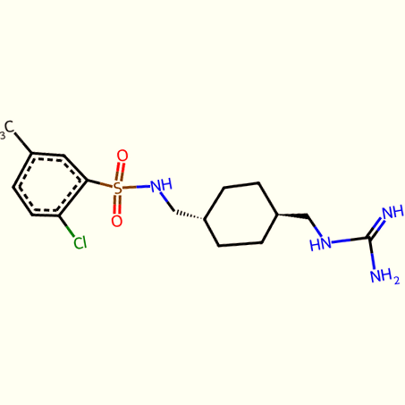 N=C(N)NC[C@H]1CC[C@H](CNS(=O)(=O)c2cc(C(F)(F)F)ccc2Cl)CC1